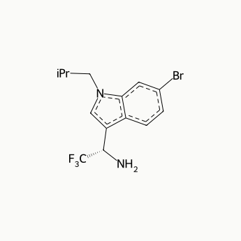 CC(C)Cn1cc([C@H](N)C(F)(F)F)c2ccc(Br)cc21